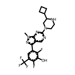 Cn1nc(-c2cc(C(F)(F)F)c(F)c(O)c2F)c2cnc(N3CCNC(C4CCC4)C3)nc21